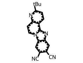 CC(C)(C)c1ccc2c(ccn3c4cc(C#N)c(C#N)cc4nc23)n1